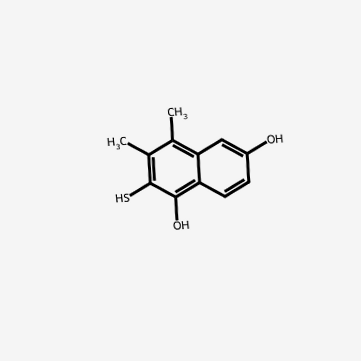 Cc1c(S)c(O)c2ccc(O)cc2c1C